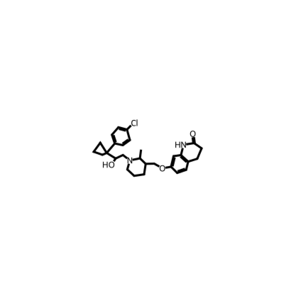 CC1C(COc2ccc3c(c2)NC(=O)CC3)CCCN1CC(O)C1(c2ccc(Cl)cc2)CCC1